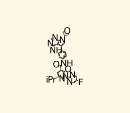 CC(C)c1cc(C(=O)Nc2ccc(-c3cn(C4COC4)c4ncnc(N)c34)cc2)c(=O)n(-c2ncc(F)cn2)n1